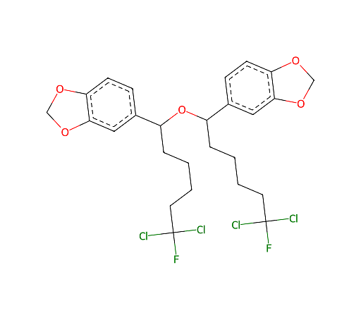 FC(Cl)(Cl)CCCCC(OC(CCCCC(F)(Cl)Cl)c1ccc2c(c1)OCO2)c1ccc2c(c1)OCO2